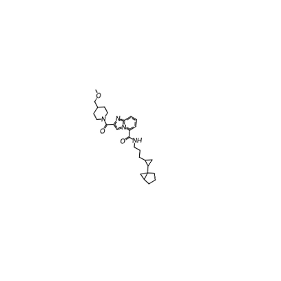 COCC1CCN(C(=O)c2cn3c(C(=O)NCCCC4CC4C45CCCC4C5)cccc3n2)CC1